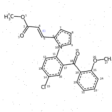 COC(=O)/C=C/c1cccn1-c1ccc(Cl)cc1C(=O)c1ccccc1OC